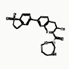 N#CC(Cc1ccc(-c2ccc3c(c2)CCS3(=O)=O)cc1F)NC(=O)[C@@H]1CNCCCO1